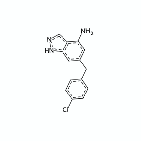 Nc1cc(Cc2ccc(Cl)cc2)cc2[nH]ncc12